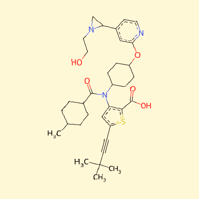 CC1CCC(C(=O)N(c2cc(C#CC(C)(C)C)sc2C(=O)O)C2CCC(Oc3cc(C4CN4CCO)ccn3)CC2)CC1